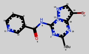 CCCCc1nc(NC(=O)c2cccnc2)n2ncc(Br)c2n1